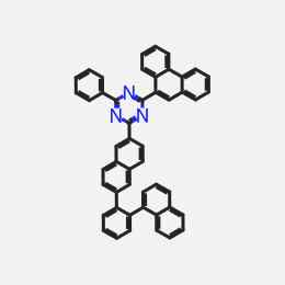 c1ccc(-c2nc(-c3ccc4cc(-c5ccccc5-c5cccc6ccccc56)ccc4c3)nc(-c3cc4ccccc4c4ccccc34)n2)cc1